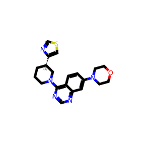 [c]1nc([C@H]2CCCN(c3ncnc4cc(N5CCOCC5)ccc34)C2)cs1